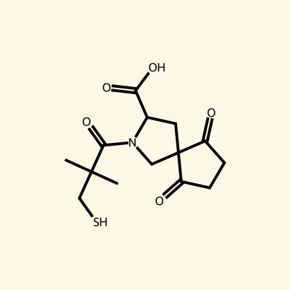 CC(C)(CS)C(=O)N1CC2(CC1C(=O)O)C(=O)CCC2=O